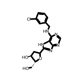 OC[C@H]1OC(c2nc3ncnc(NCc4cccc(Cl)c4)c3[nH]2)C[C@@H]1O